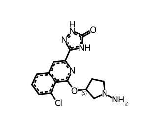 NN1CC[C@H](Oc2nc(-c3n[nH]c(=O)[nH]3)cc3cccc(Cl)c23)C1